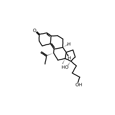 C=C(C)[C@H]1C[C@@]2(C)[C@@H](CC[C@@]2(O)CCCO)[C@@H]2CCC3=CC(=O)CCC3=C12